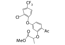 COC(=O)C(C)Oc1cc(Oc2ccc(C(F)(F)F)cc2Cl)ccc1C(C)=O